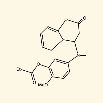 CCC(=O)Oc1cc(N(C)C2CC(=O)OC3=CC=CCC32)ccc1OC